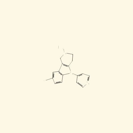 CN1CCc2c(c3cc(F)ccc3n2-c2ccncc2)C1